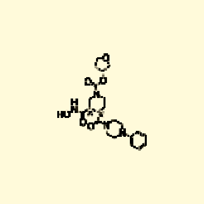 O=C(NO)[C@H]1CN(C(=O)OC2CCOC2)CC[C@@H]1C(=O)N1CCN(c2ccccc2)CC1